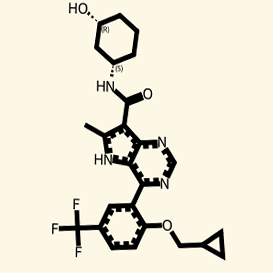 Cc1[nH]c2c(-c3cc(C(F)(F)F)ccc3OCC3CC3)ncnc2c1C(=O)N[C@H]1CCC[C@@H](O)C1